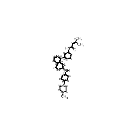 CC(C)=CC(=O)Nc1cccc(-c2nccc3cnc(Nc4ccc(N5CCN(C)CC5)cc4)nc23)c1